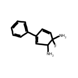 NC1C=C(c2ccccc2)C=CC1(N)F